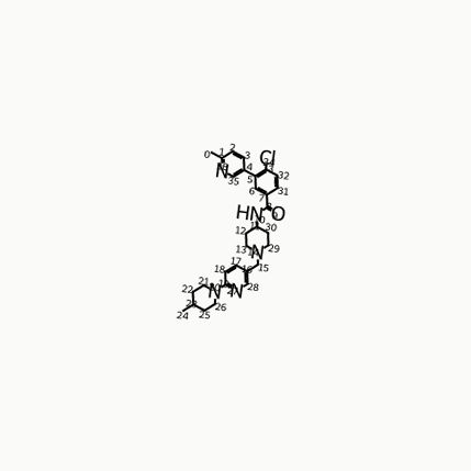 Cc1ccc(-c2cc(C(=O)NC3CCN(Cc4ccc(N5CCC(C)CC5)nc4)CC3)ccc2Cl)cn1